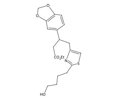 CCOC(=O)CC(Cc1csc(CCCCO)n1)c1ccc2c(c1)OCO2